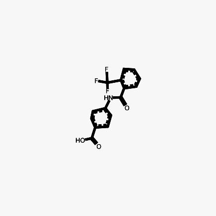 O=C(O)c1ccc(NC(=O)c2ccccc2C(F)(F)F)cc1